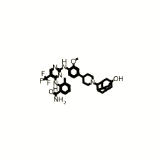 COc1cc(C2CCN(C3C4CC5CC3CC(O)(C5)C4)CC2)ccc1Nc1ncc(C(F)(F)F)c(Nc2c(C)cccc2C(N)=O)n1